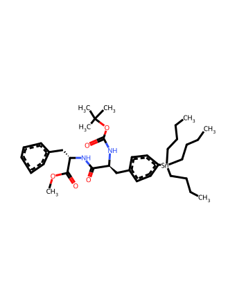 CCC[CH2][Sn]([CH2]CCC)([CH2]CCC)[c]1ccc(C[C@H](NC(=O)OC(C)(C)C)C(=O)N[C@@H](Cc2ccccc2)C(=O)OC)cc1